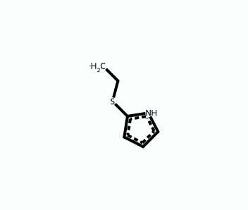 [CH2]CSc1ccc[nH]1